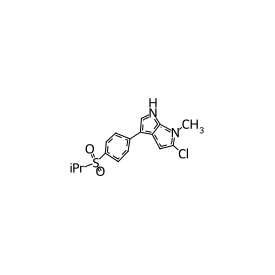 CC(C)S(=O)(=O)c1ccc(-c2c[nH]c3c2cc(Cl)n3C)cc1